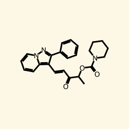 CC(OC(=O)N1CCCCC1)C(=O)C=Cc1c(-c2ccccc2)nn2ccccc12